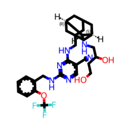 N#Cc1cnc(NCc2ccccc2OC(F)(F)F)nc1NCC12CC3C[C@H](C1)[C@H](NCC(O)CCO)[C@@H](C3)C2